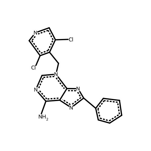 Nc1ncn(Cc2c(Cl)cncc2Cl)c2nc(-c3ccccc3)nc1-2